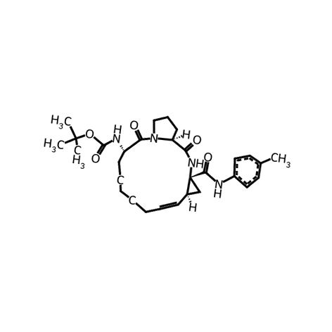 Cc1ccc(NC(=O)[C@@]23C[C@H]2/C=C\CCCCC[C@H](NC(=O)OC(C)(C)C)C(=O)N2CCC[C@H]2C(=O)N3)cc1